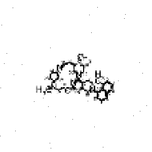 Cc1cccc2cccc(N3CCc4c(nc(OCCN(C)C5CCCC5)nc4N4CCN(C)C(CC#N)C4)C3)c12